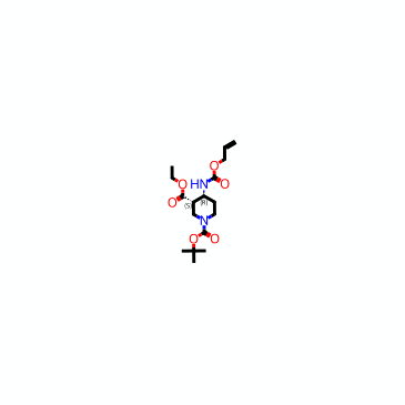 C=CCOC(=O)N[C@@H]1CCN(C(=O)OC(C)(C)C)C[C@@H]1C(=O)OCC